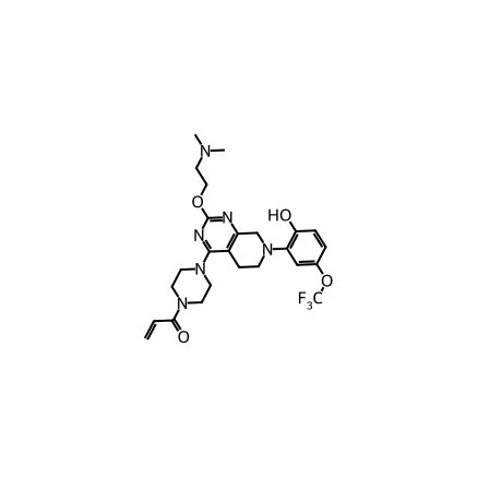 C=CC(=O)N1CCN(c2nc(OCCN(C)C)nc3c2CCN(c2cc(OC(F)(F)F)ccc2O)C3)CC1